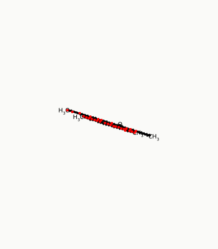 CCCCCCCCCCCCCCCCCCCCCCCCCCCCCCCCCCCCCCCC.CCCCCCCCCCCCCCCCCCCCCCCCCCCCCCCCCCCCCCCC(=O)OCCCCCCCCCCCCCCCCCCCCCC